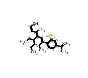 C=C(C)c1ccc(/C(=C/C(=C(C)/C=C\C)C(CC)CCC)CC)c(P)c1